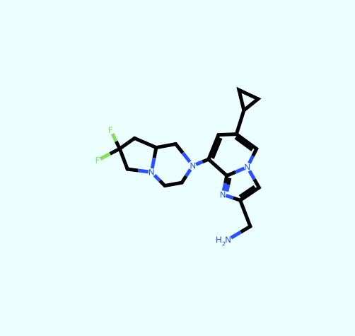 NCc1cn2cc(C3CC3)cc(N3CCN4CC(F)(F)CC4C3)c2n1